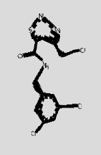 O=C(NCc1cc(Cl)cc(Cl)c1)c1snnc1CCl